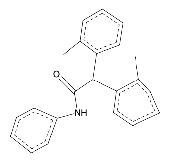 Cc1ccccc1C(C(=O)Nc1ccccc1)c1ccccc1C